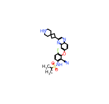 CC(C)S(=O)(=O)Nc1ccc(F)c(Oc2ccc3ncc(C4CC5(CCNCC5)C4)nc3c2)c1C#N